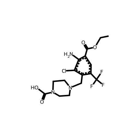 CCOC(=O)c1cc(C(F)(F)F)c(CN2CCN(C(=O)O)CC2)c(Cl)c1N